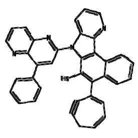 Sc1c(C2=CC=CCC#C2)c2ccccc2c2c3ncccc3n(-c3cc(-c4ccccc4)c4ncccc4n3)c12